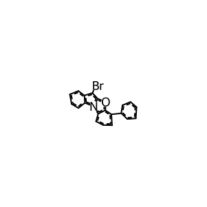 Brc1c2ccccc2n2c1oc1c(-c3ccccc3)cccc12